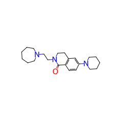 O=C1c2ccc(N3CCCCC3)cc2CCN1CCN1CCCCCC1